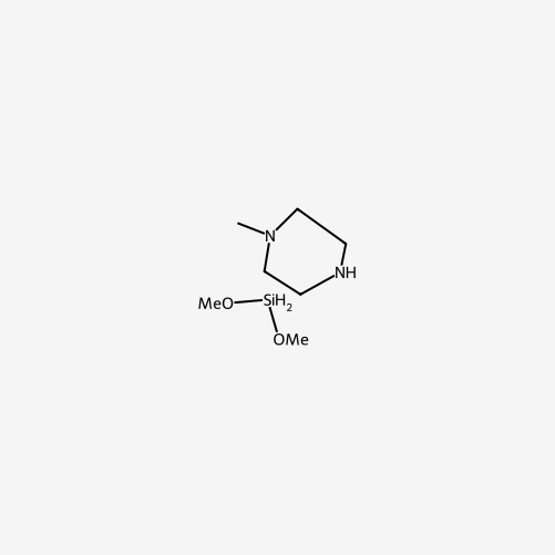 CN1CCNCC1.CO[SiH2]OC